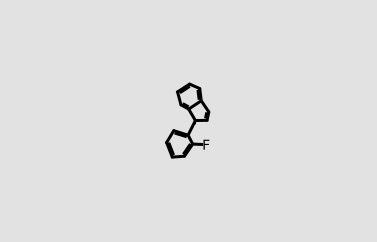 Fc1ccccc1[C]1C=Cc2ccccc21